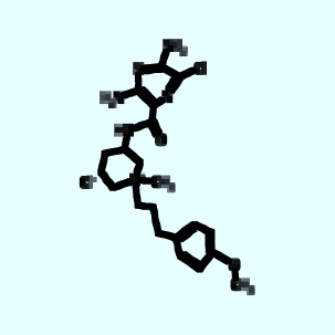 COc1ccc(CCC[N+]2(C)CCCC(NC(=O)c3nc(Cl)c(N)nc3N)C2)cc1.[Cl-]